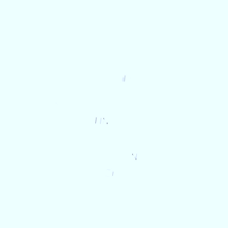 C/C=C\C(N/C=N\CC)C(C)C